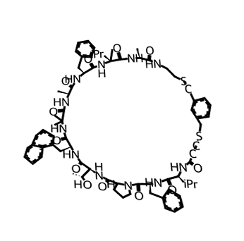 CC(C)[C@@H]1NC(=O)CCSCc2cccc(c2)CSCCNC(=O)[C@H](C)NC(=O)[C@](C)(C(C)C)NC(=O)[C@H](Cc2ccccc2)NC(=O)[C@H](C)NC(=O)C(C)(C)NC(=O)[C@H](Cc2cccc3ccccc23)NC(=O)[C@H]([C@@H](C)O)NC(=O)[C@@H]2CCCN2C(=O)[C@H](Cc2ccccc2)NC1=O